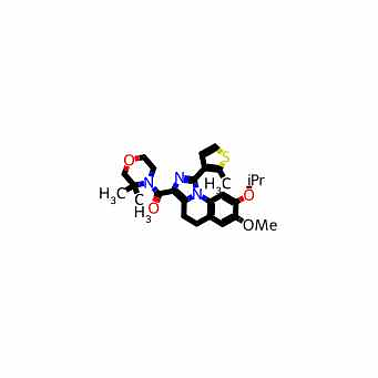 COc1cc2c(cc1OC(C)C)-n1c(-c3ccsc3C)nc(C(=O)N3CCOCC3(C)C)c1CC2